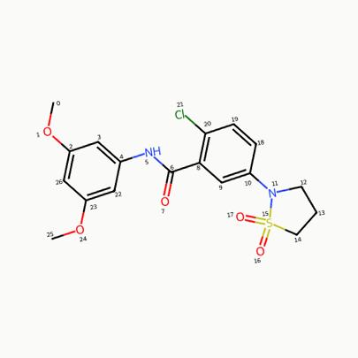 COc1cc(NC(=O)c2cc(N3CCCS3(=O)=O)ccc2Cl)cc(OC)c1